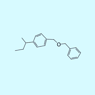 CCC(C)c1ccc(COCc2ccccc2)cc1